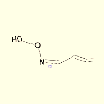 C=C/C=N\OO